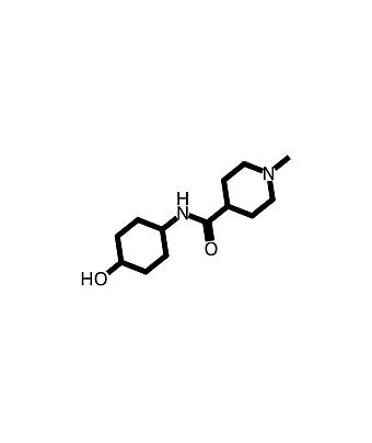 CN1CCC(C(=O)NC2CCC(O)CC2)CC1